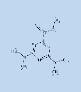 COC(=O)c1cc(C(C)C)nc(C(C)C)c1